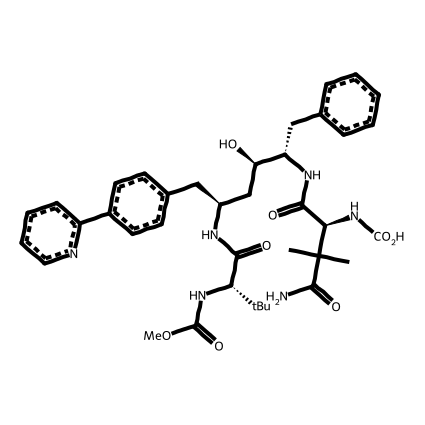 COC(=O)N[C@H](C(=O)N[C@@H](Cc1ccc(-c2ccccn2)cc1)C[C@@H](O)[C@H](Cc1ccccc1)NC(=O)[C@@H](NC(=O)O)C(C)(C)C(N)=O)C(C)(C)C